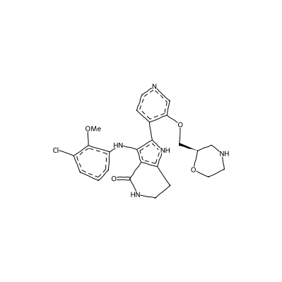 COc1c(Cl)cccc1Nc1c(-c2ccncc2OC[C@H]2CNCCO2)[nH]c2c1C(=O)NCC2